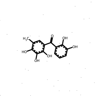 Cc1cc(C(=O)c2cccc(O)c2O)c(O)c(O)c1O